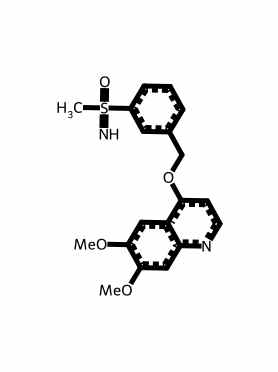 COc1cc2nccc(OCc3cccc(S(C)(=N)=O)c3)c2cc1OC